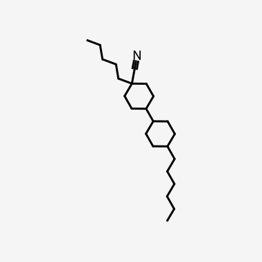 CCCCCCC1CCC(C2CCC(C#N)(CCCCC)CC2)CC1